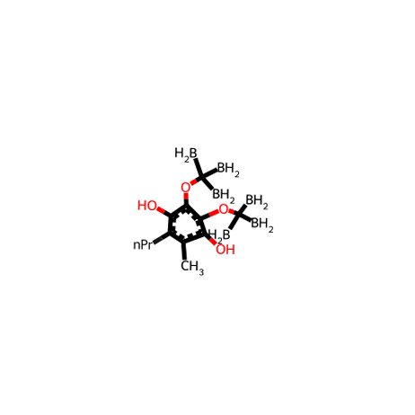 BC(B)(B)Oc1c(O)c(C)c(CCC)c(O)c1OC(B)(B)B